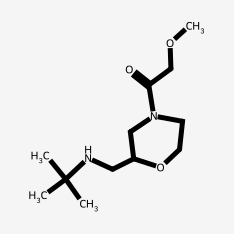 COCC(=O)N1CCOC(CNC(C)(C)C)C1